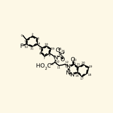 Cc1ccc(-c2ccc(N(C(CCn3nnc4ccccc4c3=O)C(=O)O)S(C)(=O)=O)cc2)cc1F